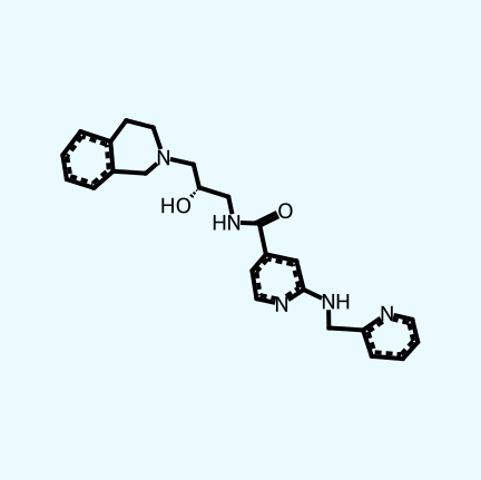 O=C(NC[C@H](O)CN1CCc2ccccc2C1)c1ccnc(NCc2ccccn2)c1